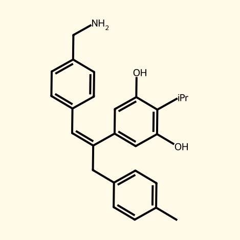 Cc1ccc(CC(=Cc2ccc(CN)cc2)c2cc(O)c(C(C)C)c(O)c2)cc1